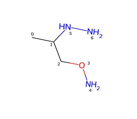 CC(CON)NN